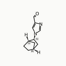 O=Cc1cn([C@H]2C[C@@H]3CC[C@H]2C3)cn1